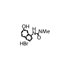 Br.CNC(=O)Nc1cccc2ccc(O)cc12